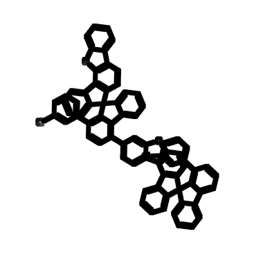 Clc1cccc(-c2cccc3c2C2(c4ccccc4-3)c3ccccc3-c3c2ccc2oc4cc(-c5ccc(-c6cccc(Cl)c6)c6c5-c5ccccc5C65c6ccccc6-c6c5ccc5c6oc6ccccc65)ccc4c32)c1